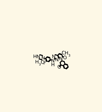 Cc1cc2cnc(Nc3ccc(N4CCNCC4C)c(F)c3)nc2n(C2CC(=O)c3ccccc3C2)c1=O